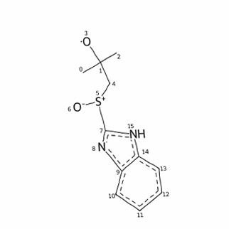 CC(C)([O])C[S+]([O-])c1nc2ccccc2[nH]1